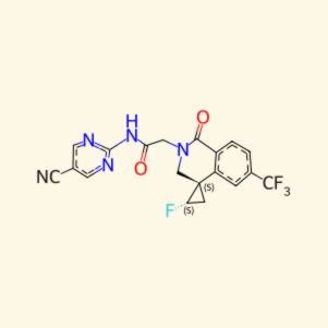 N#Cc1cnc(NC(=O)CN2C[C@]3(C[C@@H]3F)c3cc(C(F)(F)F)ccc3C2=O)nc1